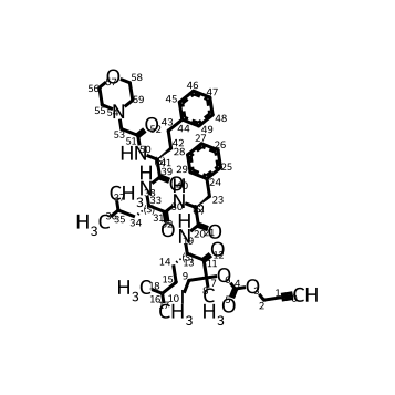 C#CCOC(=O)OC(C)(CI)C(=O)[C@H](CCC(C)C)NC(=O)[C@H](Cc1ccccc1)NC(=O)[C@H](CC(C)C)NC(=O)[C@H](CCc1ccccc1)NC(=O)CN1CCOCC1